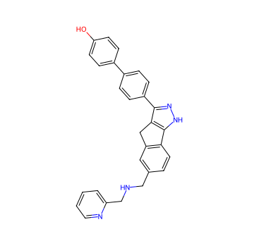 Oc1ccc(-c2ccc(-c3n[nH]c4c3Cc3cc(CNCc5ccccn5)ccc3-4)cc2)cc1